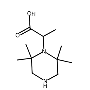 CC(C(=O)O)N1C(C)(C)CNCC1(C)C